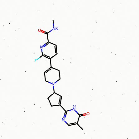 CNC(=O)c1ccc(C2=CCN(C3C=C(c4ncc(C)c(=O)[nH]4)CC3)CC2)c(F)n1